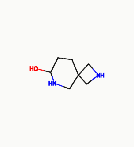 OC1CCC2(CNC2)CN1